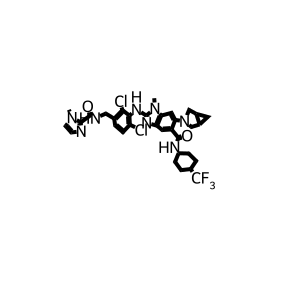 Cn1ccnc1C(=O)NCc1ccc(Cl)c(Nc2nc3cc(C(=O)NC4CCC(C(F)(F)F)CC4)c(N4CC5CC5C4)cc3n2C)c1Cl